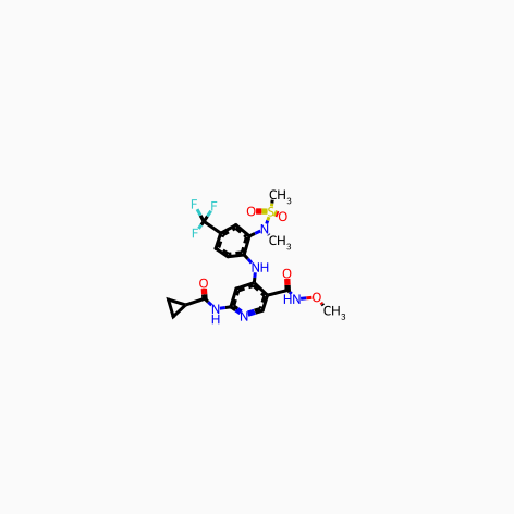 CONC(=O)c1cnc(NC(=O)C2CC2)cc1Nc1ccc(C(F)(F)F)cc1N(C)S(C)(=O)=O